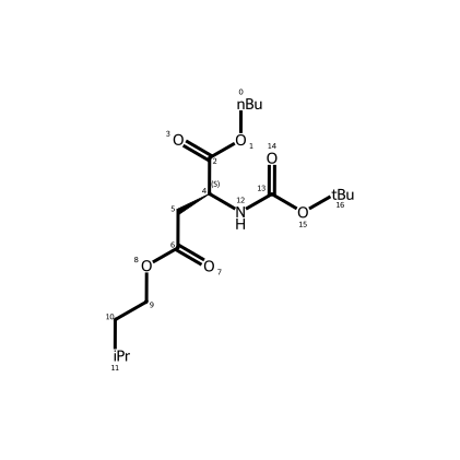 CCCCOC(=O)[C@H](CC(=O)OCCC(C)C)NC(=O)OC(C)(C)C